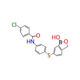 O=C(Nc1ccc(Sc2ccc3c(c2)B(O)OC3)cc1)c1ccc(Cl)cc1